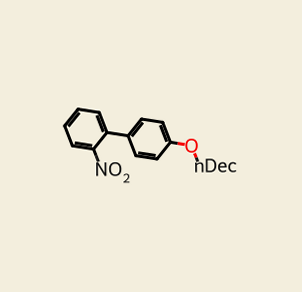 CCCCCCCCCCOc1ccc(-c2ccccc2[N+](=O)[O-])cc1